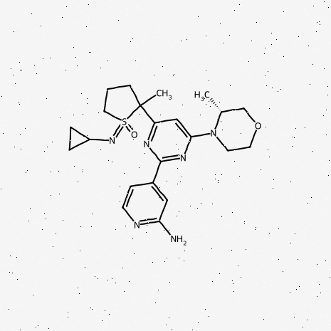 C[C@@H]1COCCN1c1cc(C2(C)CCCS2(=O)=NC2CC2)nc(-c2ccnc(N)c2)n1